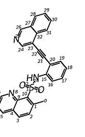 Cc1ccc2cccnc2c1S(=O)(=O)Nc1ccccc1C#Cc1cncc2ccccc12